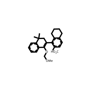 COCOC1=C(c2c(C(=O)O)ccc3c2CCCC3)CC(C)(C)c2ccccc21